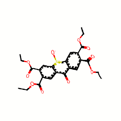 CCOC(=O)c1cc2c(=O)c3cc(C(=O)OCC)c(C(=O)OCC)cc3[s+]([O-])c2cc1C(=O)OCC